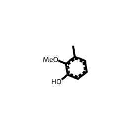 COc1c(C)cccc1O